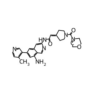 Cc1ccncc1-c1cc(N)c2cnc(NC(=O)C=C3CCN(C(=O)N4CCOCC4)CC3)cc2c1